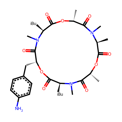 CCC(C)[C@H]1C(=O)O[C@H](Cc2ccc(N)cc2)C(=O)N(C)[C@@H](C(C)CC)C(=O)O[C@H](C)C(=O)N(C)[C@@H](C)C(=O)O[C@H](C)C(=O)N1C